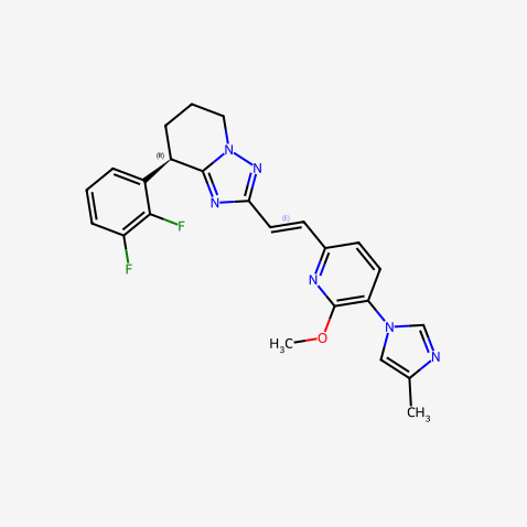 COc1nc(/C=C/c2nc3n(n2)CCC[C@@H]3c2cccc(F)c2F)ccc1-n1cnc(C)c1